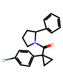 O=C(N1CCCC1c1ccccc1)C1(c2ccc(Cl)cc2)CC1